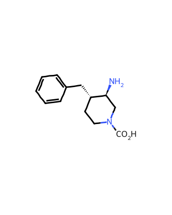 N[C@H]1CN(C(=O)O)CC[C@@H]1Cc1ccccc1